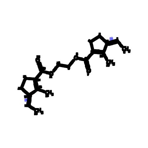 C/C=C1/CCC(C(=O)OCCOC(=O)C2=C(C)/C(=C\C)CC2)=C1C